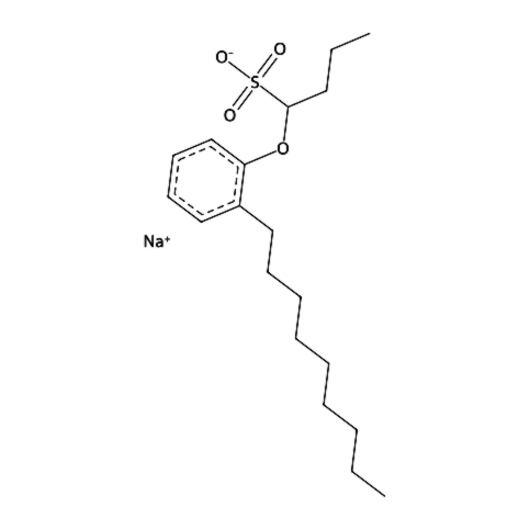 CCCCCCCCCc1ccccc1OC(CCC)S(=O)(=O)[O-].[Na+]